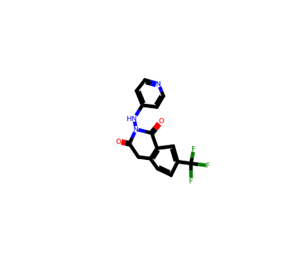 O=C1Cc2ccc(C(F)(F)F)cc2C(=O)N1Nc1ccncc1